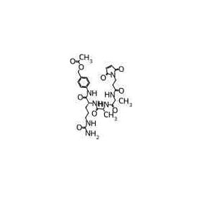 CC(=O)OCc1ccc(NC(=O)[C@H](CCCNC(N)=O)NC(=O)[C@H](C)NC(=O)[C@@H](C)NC(=O)CCN2C(=O)C=CC2=O)cc1